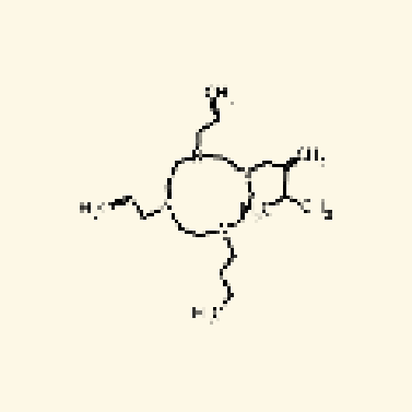 C=CCN1CCN(CCCC)CCN(CC(=C)C(C)C)CN(CC=C)CC1